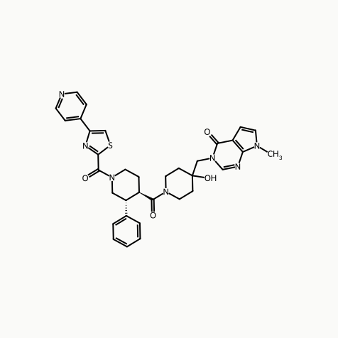 Cn1ccc2c(=O)n(CC3(O)CCN(C(=O)[C@@H]4CCN(C(=O)c5nc(-c6ccncc6)cs5)C[C@H]4c4ccccc4)CC3)cnc21